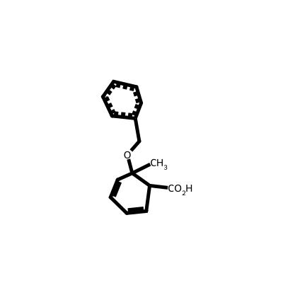 CC1(OCc2ccccc2)C=CC=CC1C(=O)O